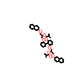 C=C(C)C(=O)OC(COc1ccc2ccccc2c1)COc1ccccc1-c1ccccc1OCC(COc1ccc2ccccc2c1)OC(=O)C(=C)C